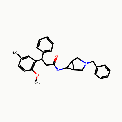 COc1ccc(C)cc1C(CC(=O)NC1C2CN(Cc3ccccc3)CC21)c1ccccc1